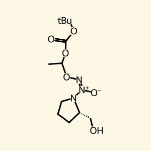 CC(O/N=[N+](/[O-])N1CCC[C@H]1CO)OC(=O)OC(C)(C)C